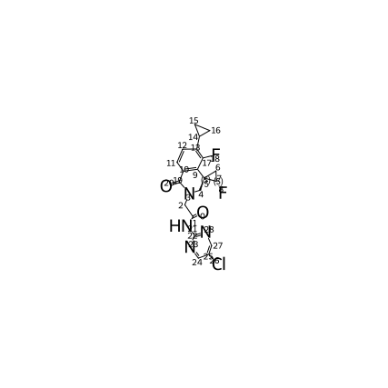 O=C(CN1C[C@]2(C[C@@H]2F)c2c(ccc(C3CC3)c2F)C1=O)Nc1ncc(Cl)cn1